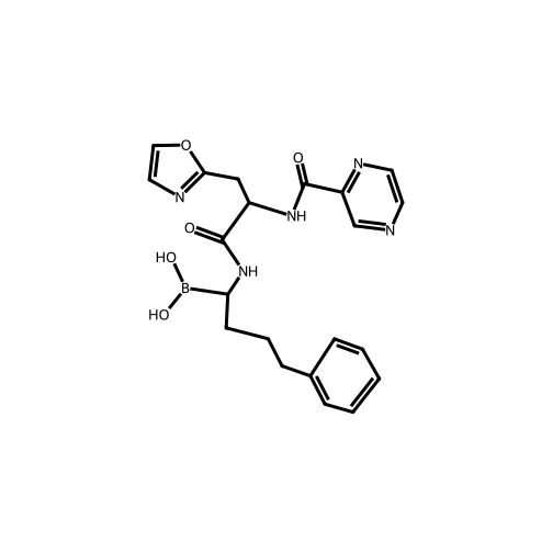 O=C(NC(Cc1ncco1)C(=O)NC(CCCc1ccccc1)B(O)O)c1cnccn1